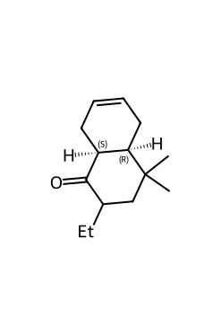 CCC1CC(C)(C)[C@@H]2CC=CC[C@@H]2C1=O